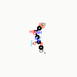 CCS(=O)(=O)c1ccc([C@H](CO)NC(=O)c2cnc(N3C[C@@H](Oc4ccc(C(F)(F)F)cc4)C[C@H]3COC(F)F)c(F)c2)cc1